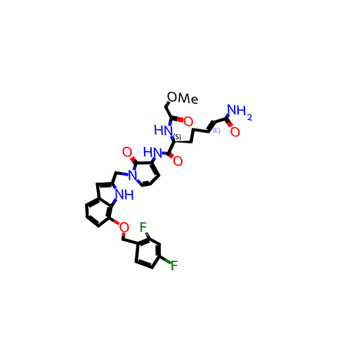 COCC(=O)N[C@@H](CC/C=C/C(N)=O)C(=O)Nc1cccn(Cc2cc3cccc(OCc4ccc(F)cc4F)c3[nH]2)c1=O